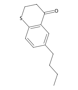 CCCCc1ccc2c(c1)C(=O)CCS2